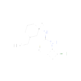 CCC1CCCC(C)(NC(NC2CC[C@@H]2Cl)SC)C1